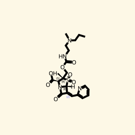 CCCN(C)CCNC(=O)OC[C@@]1(C)[C@H](C(=O)O)N2C(=O)/C(=C/c3ccccn3)[C@H]2S1(=O)=O